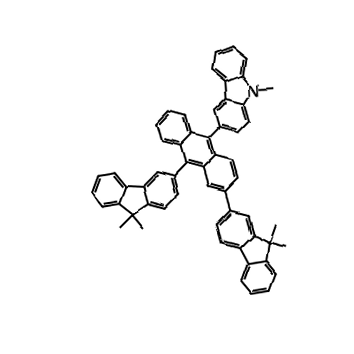 Cn1c2ccccc2c2cc(-c3c4ccccc4c(-c4ccc5c(c4)-c4ccccc4C5(C)C)c4cc(-c5ccc6c(c5)C(C)(C)c5ccccc5-6)ccc34)ccc21